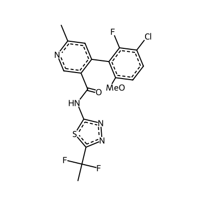 COc1ccc(Cl)c(F)c1-c1cc(C)ncc1C(=O)Nc1nnc(C(C)(F)F)s1